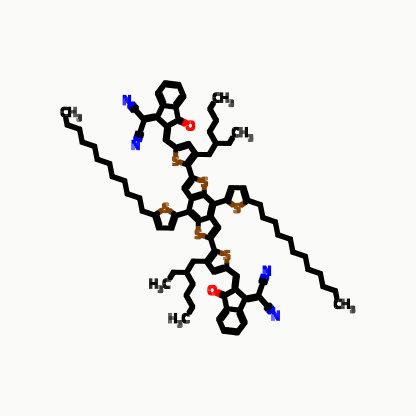 CCCCCCCCCCCCc1ccc(-c2c3cc(-c4sc(/C=C5\C(=O)c6ccccc6C5=C(C#N)C#N)cc4CC(CC)CCCC)sc3c(-c3ccc(CCCCCCCCCCCC)s3)c3cc(-c4sc(/C=C5\C(=O)c6ccccc6C5=C(C#N)C#N)cc4CC(CC)CCCC)sc23)s1